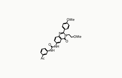 COCCn1c(-c2ccc(OC)cc2)nc2ccc(NC(=O)Nc3cccc(C(C)=O)c3)cc2c1=O